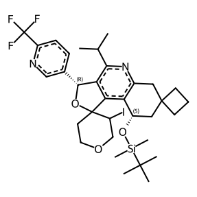 CC(C)c1nc2c(c3c1[C@@H](c1ccc(C(F)(F)F)nc1)OC31CCOCC1I)[C@@H](O[Si](C)(C)C(C)(C)C)CC1(CCC1)C2